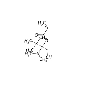 C=CC(=O)OC(CC)(N(C)C)C(C)(C)C